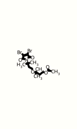 CC(=O)OCCC(C)(C)OCCC(C)(C)N1C(=O)C(Br)=C(Br)C1=O